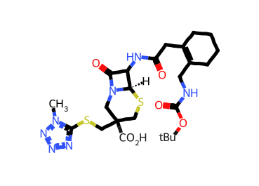 Cn1nnnc1SCC1(C(=O)O)CS[C@@H]2C(NC(=O)CC3=C(CNC(=O)OC(C)(C)C)CCCC3)C(=O)N2C1